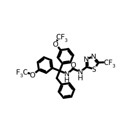 O=C(Nc1nnc(C(F)(F)F)s1)NC(Cc1ccccc1)(c1cccc(OC(F)(F)F)c1)c1cccc(OC(F)(F)F)c1